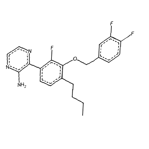 CCCCc1ccc(-c2nccnc2N)c(F)c1OCc1ccc(F)c(F)c1